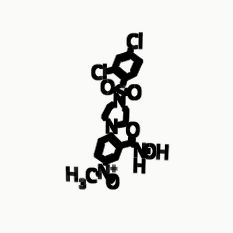 C[N+](=O)c1ccc(N2CCN(S(=O)(=O)c3ccc(Cl)cc3Cl)CC2)c(C(=O)NO)c1